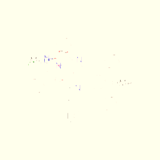 C=CC1C[N+]2(Cc3cc(-c4ccccc4)c(OC)c(-c4ccccc4)c3)CCC1CC2[C@@H](Oc1nc(-c2ccccc2)nc(Cl)c1-c1ccccc1)c1ccnc2ccc(OC)cc12